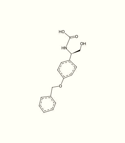 O=C(O)N[C@@H](CO)c1ccc(OCc2ccccc2)cc1